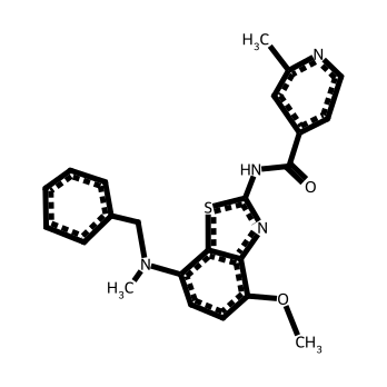 COc1ccc(N(C)Cc2ccccc2)c2sc(NC(=O)c3ccnc(C)c3)nc12